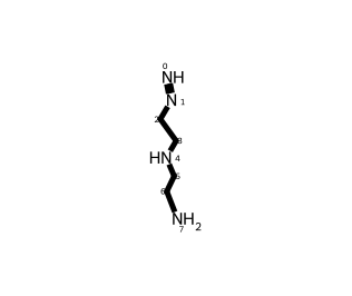 N=NCCNCCN